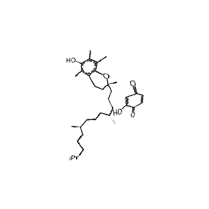 Cc1c(C)c2c(c(C)c1O)CC[C@@](C)(CCC[C@H](C)CCC[C@H](C)CCCC(C)C)O2.O=C1C=CC(=O)C(O)=C1